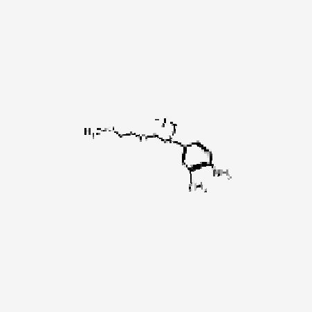 CCN(CCOCCOC)c1ccc(N)c(C)c1